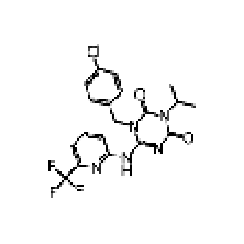 CC(C)n1c(=O)nc(Nc2cccc(C(F)(F)F)n2)n(Cc2ccc(Cl)cc2)c1=O